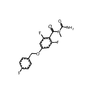 CN(C(N)=O)C(=O)c1c(F)cc(OCc2ccc(F)cc2)cc1F